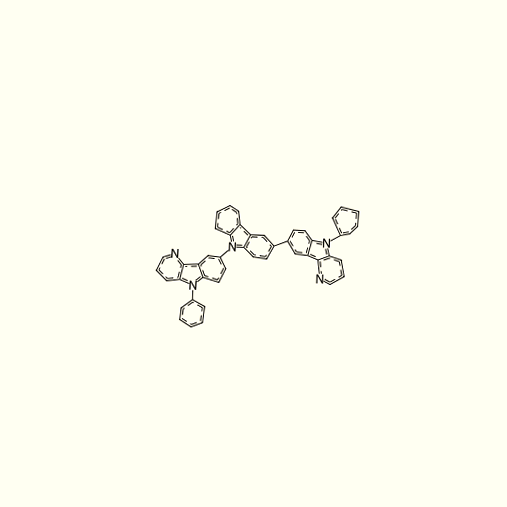 c1ccc(-n2c3ccc(-c4ccc5c(c4)c4ccccc4n5-c4ccc5c(c4)c4ncccc4n5-c4ccccc4)cc3c3ncccc32)cc1